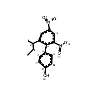 CCC(C)c1cc([N+](=O)[O-])cc([N+](=O)[O-])c1-c1ccc(O)cc1